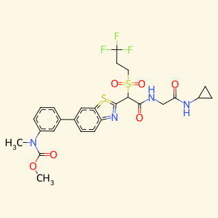 COC(=O)N(C)c1cccc(-c2ccc3nc(C(C(=O)NCC(=O)NC4CC4)S(=O)(=O)CCC(F)(F)F)sc3c2)c1